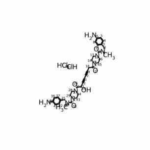 CN(Cc1ccc(N)cc1)C(=O)N1CCN(C(=O)CC#CC#CC(O)C(=O)N2CCN(C(=O)N(C)Cc3ccc(N)cc3)CC2)CC1.Cl.Cl